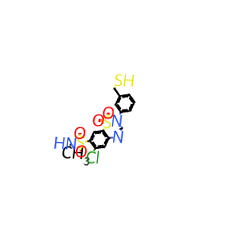 CNS(=O)(=O)c1cc2c(cc1Cl)N=CN(c1cccc(CS)c1)S2(=O)=O